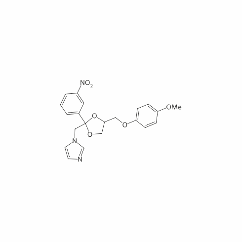 COc1ccc(OCC2COC(Cn3ccnc3)(c3cccc([N+](=O)[O-])c3)O2)cc1